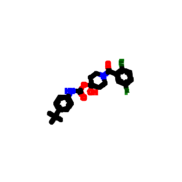 CC(C)(C)c1ccc(NC(=O)OC2(O)CCN(C(=O)c3cc(F)ccc3F)CC2)cc1